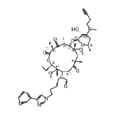 C#CCCN(C)[C@H]1C[C@@H](C)O[C@@H](O[C@@H]2[C@@H](C)C(=O)[C@](C)(F)C(=O)O[C@H](CC)[C@@](C)(OC)C(N(C=O)CCCCn3cnc(-c4cccnc4)c3)[C@@H](C)C(=O)[C@H](C)C[C@@]2(C)OC)[C@@H]1O